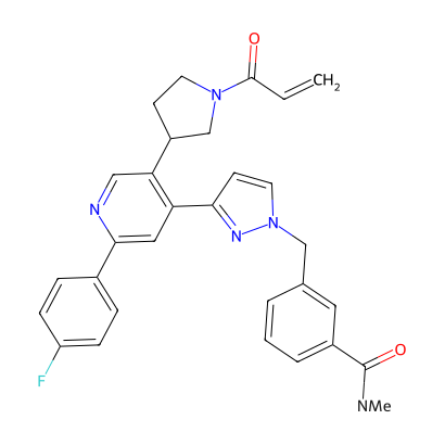 C=CC(=O)N1CCC(c2cnc(-c3ccc(F)cc3)cc2-c2ccn(Cc3cccc(C(=O)NC)c3)n2)C1